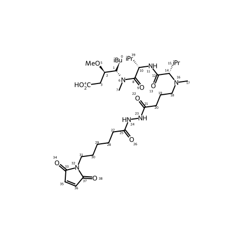 CC[C@H](C)[C@@H]([C@@H](CC(=O)O)OC)N(C)C(=O)[C@@H](NC(=O)[C@H](C(C)C)N(C)CCCC(=O)NNC(=O)CCCCCN1C(=O)C=CC1=O)C(C)C